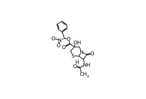 CC(=O)NC1C(=O)N2CC(O)(C(=O)OC(c3ccccc3)[N+](=O)[O-])CS[C@H]12